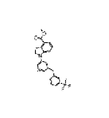 COC(=O)c1cccc2c1CCN2c1cncc(Cc2cccc(C(F)(F)F)c2)c1